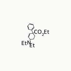 CCOC(=O)C1(c2ccccc2)C=CC(N(CC)CC)CC1